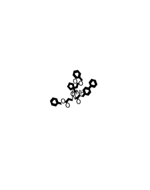 O=C(CCNC(=O)[C@H](Cc1ccc(-c2ccccc2)cc1)NC(=O)C1(CC(=O)OCc2ccccc2)CCCC1)OCc1ccccc1